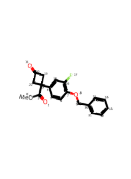 COC(=O)C1(c2ccc(OCc3ccccc3)c(F)c2)CC(=O)C1